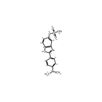 CN(C)c1ccc(-c2nc3cc(OS(=O)(=O)O)ccc3o2)cc1